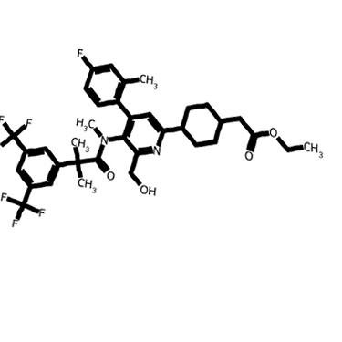 CCOC(=O)CC1CCC(c2cc(-c3ccc(F)cc3C)c(N(C)C(=O)C(C)(C)c3cc(C(F)(F)F)cc(C(F)(F)F)c3)c(CO)n2)CC1